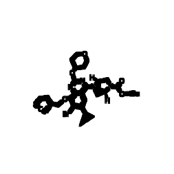 CC(C)(C)OC(=O)N1C[C@@H]2C[C@H]1CN2c1nc(OC2CCOCC2)nc2c(OCc3ccccc3)c(Br)c(C3CC3)cc12